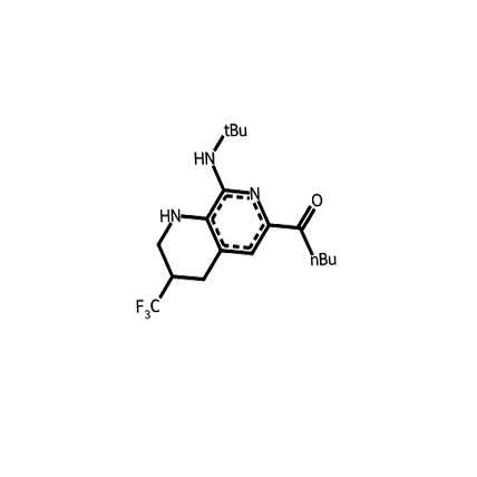 CCCCC(=O)c1cc2c(c(NC(C)(C)C)n1)NCC(C(F)(F)F)C2